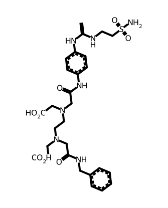 C=C(NCCS(N)(=O)=O)Nc1ccc(NC(=O)CN(CCN(CC(=O)O)CC(=O)NCc2ccccc2)CC(=O)O)cc1